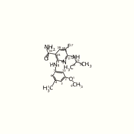 COc1cc(C)cc(Nc2nc(NC(C)C)c(F)cc2C(N)=O)c1